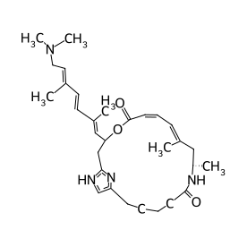 CC(/C=C/C(C)=C/C1Cc2nc(c[nH]2)CCCCC(=O)N[C@@H](C)C/C(C)=C/C=C\C(=O)O1)=C\CN(C)C